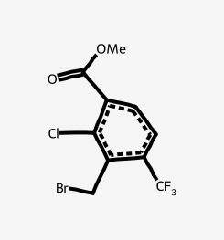 COC(=O)c1ccc(C(F)(F)F)c(CBr)c1Cl